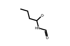 CCCC([O])NC=O